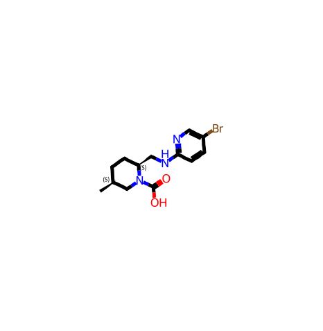 C[C@H]1CC[C@@H](CNc2ccc(Br)cn2)N(C(=O)O)C1